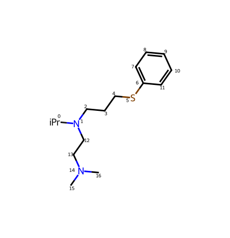 CC(C)N(CCCSc1ccccc1)CCN(C)C